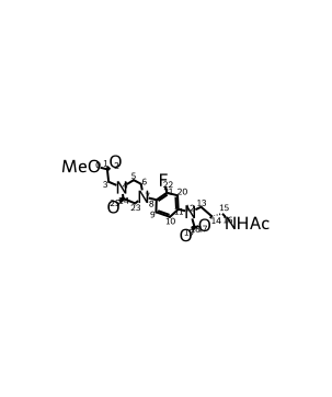 COC(=O)CN1CCN(c2ccc(N3C[C@H](CNC(C)=O)OC3=O)cc2F)CC1=O